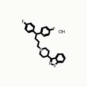 Cl.Fc1ccc(C(CCCN2CCC(c3nsc4ccccc34)CC2)c2ccc(F)cc2)cc1